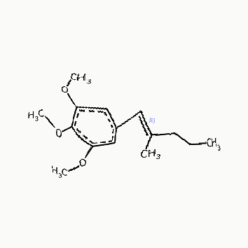 CCC/C(C)=C/c1cc(OC)c(OC)c(OC)c1